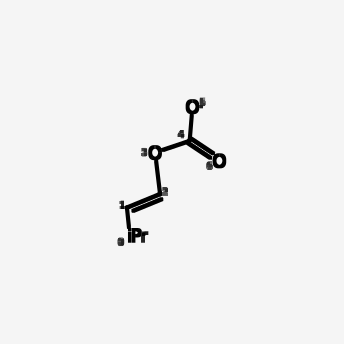 CC(C)C=COC([O])=O